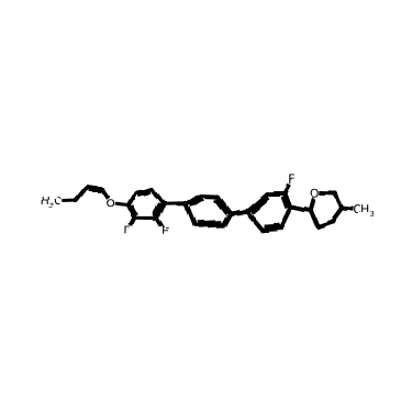 CC/C=C\Oc1ccc(-c2ccc(-c3ccc(C4CCC(C)CO4)c(F)c3)cc2)c(F)c1F